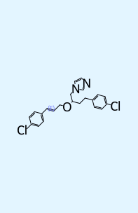 Clc1ccc(/C=C/COC(CCc2ccc(Cl)cc2)Cn2ccnc2)cc1